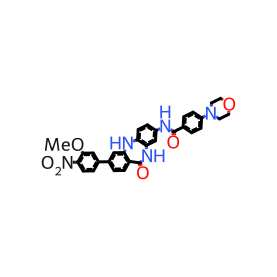 COc1cc(-c2ccc3c(c2)Nc2ccc(NC(=O)c4ccc(N5CCOCC5)cc4)cc2NC3=O)ccc1[N+](=O)[O-]